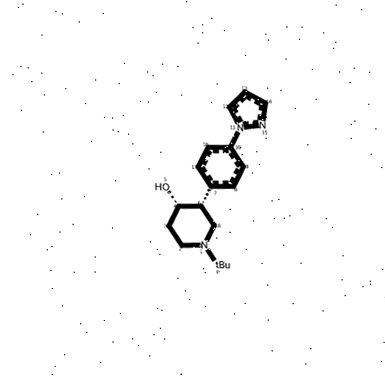 CC(C)(C)N1CC[C@H](O)[C@H](c2ccc(-n3cccn3)cc2)C1